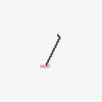 CC/C=C\C/C=C/C/C=C/C/C=C/C/C=C/CCCCCC(=O)O